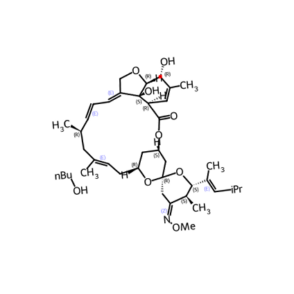 CCCCO.CO/N=C1/C[C@]2(C[C@@H]3C[C@@H](C/C=C(\C)C[C@@H](C)/C=C/C=C4\CO[C@@H]5[C@H](O)C(C)=C[C@@H](C(=O)O3)[C@]45O)O2)O[C@H](/C(C)=C/C(C)C)[C@H]1C